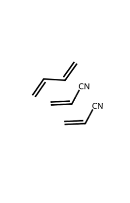 C=CC#N.C=CC#N.C=CC=C